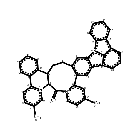 C=C1C2C(CCc3cc4c(cc3-c3cc(C(C)(C)C)cc[n+]31)c1cccc3c5ccccc5n4c31)c1ccccc1-c1ccc(C)c[n+]12